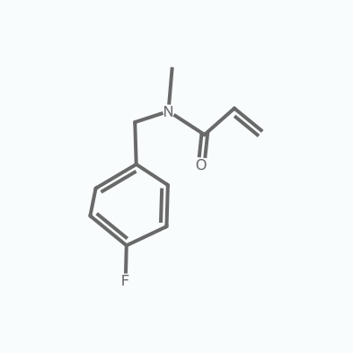 C=CC(=O)N(C)Cc1ccc(F)cc1